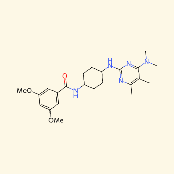 COc1cc(OC)cc(C(=O)NC2CCC(Nc3nc(C)c(C)c(N(C)C)n3)CC2)c1